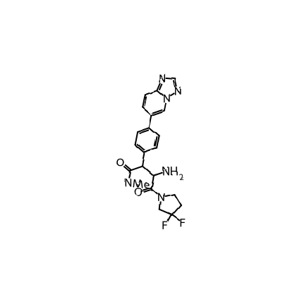 CNC(=O)C(c1ccc(-c2ccc3ncnn3c2)cc1)C(N)C(=O)N1CCC(F)(F)C1